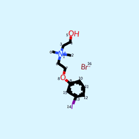 C[N+](C)(CCO)CCOc1cccc(I)c1.[Br-]